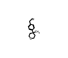 CC(C)Cc1ccc(C2(C)CCOCC2)cc1